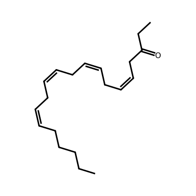 CCCCC/C=C\C/C=C\C/C=C\C/C=C\CC(=O)CC